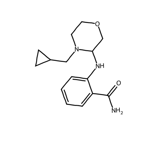 NC(=O)c1ccccc1NC1COCCN1CC1CC1